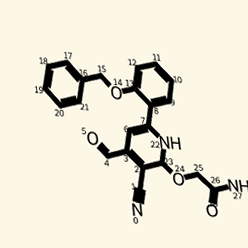 N#CC1=C(C=O)C=C(c2ccccc2OCc2ccccc2)NC1OCC(N)=O